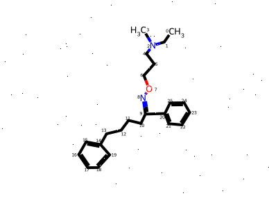 CCN(C)CCCON=C(CCCCc1ccccc1)c1ccccc1